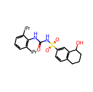 CC(C)c1cccc(C(C)C)c1NC(=O)NS(=O)(=O)c1ccc2c(c1)C(O)CCC2